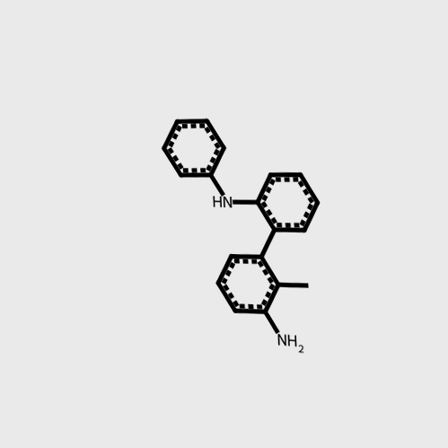 Cc1c(N)cccc1-c1ccccc1Nc1ccccc1